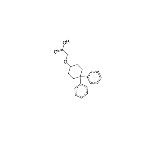 O=C(O)COC1CCC(c2ccccc2)(c2ccccc2)CC1